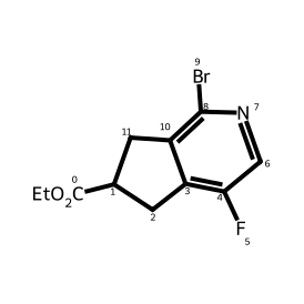 CCOC(=O)C1Cc2c(F)cnc(Br)c2C1